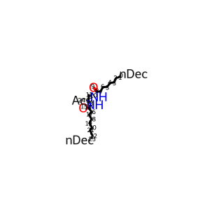 CCCCCCCCCCCCCCCCCC(=O)NCC(NC(=O)CCCCCCCCCCCCCCCCC)C(C)=O